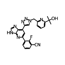 CC(C)(O)c1cccc(Cn2cc(-c3cc(-c4cccc(C#N)c4F)nc4[nH]cnc34)nn2)n1